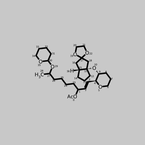 CC(=O)OC(C=C[C@@H]1OCCC[C@H]1O[C@]12CCC[C@@H]1CC1(C2)OCCO1)CCCCC(C)OC1CCCCO1